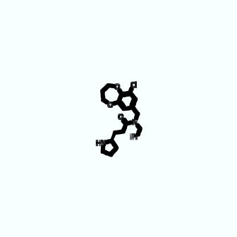 CC(C)CN(Cc1cc(Cl)c2c(c1)OCCCO2)C(=O)CC[C@H]1CCCN1